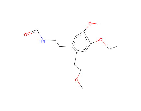 CCOc1cc(CCOC)c(CCNC=O)cc1OC